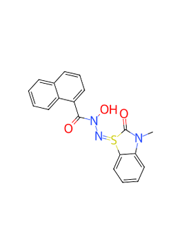 CN1C(=O)S(=NN(O)C(=O)c2cccc3ccccc23)c2ccccc21